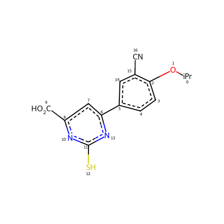 CC(C)Oc1ccc(-c2cc(C(=O)O)nc(S)n2)cc1C#N